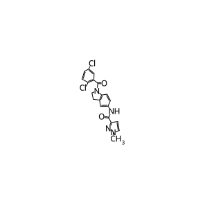 Cn1ccc(C(=O)Nc2ccc3c(c2)CCN3C(=O)c2cc(Cl)ccc2Cl)n1